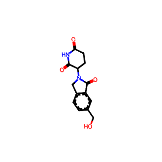 O=C1CCC(N2Cc3ccc(CO)cc3C2=O)C(=O)N1